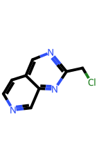 ClCc1ncc2ccncc2n1